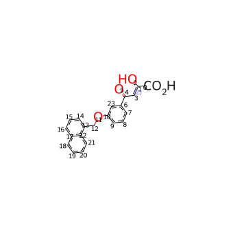 O=C(O)/C(O)=C/C(=O)c1cccc(OCc2cccc3ccccc23)c1